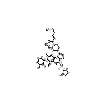 COC/C=C/C(=O)N1CC[C@H](n2nnc3c(OC[C@@H]4CCCN4C)nc4c(F)c(-c5cccc(C)c5C)c(C)cc4c32)C[C@H]1CC#N